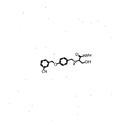 CNC(=O)C(CO)N(C)Cc1ccc(OCc2cccc(C#N)c2)cc1